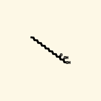 CCCCCCCCCCCCCCCC(=O)[CH]C(O)CO